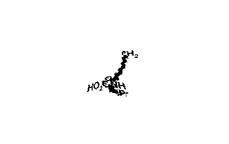 C=CCCCCCCCCC(=O)N[C@@H](CC(C)C)C(=O)O